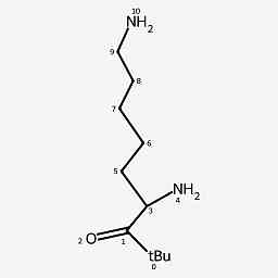 CC(C)(C)C(=O)C(N)CCCCCN